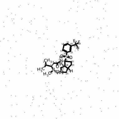 CC(C)[C@@H](CC(=O)N[C@]1(S(=O)(=O)c2cccc(C(F)(F)F)c2)CC[C@@H]2CNC[C@@H]21)N(C)C